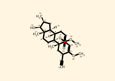 C#CC1C[C@@]2(C)C(=CC[C@H]3[C@@H]4C[C@H](C)[C@H](O)[C@@]4(C)CC[C@@]32OC(=O)OC)C=C1OC